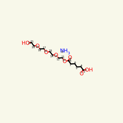 N.O=C(O)CCCCC(=O)OCCOCCOCCOCCO